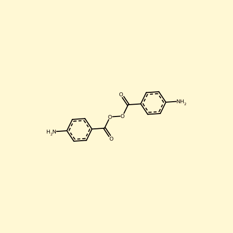 Nc1ccc(C(=O)OOC(=O)c2ccc(N)cc2)cc1